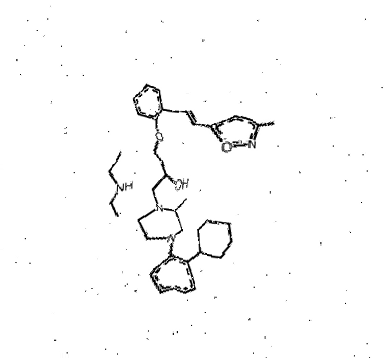 CCNCC.Cc1cc(C=Cc2ccccc2OCC(O)CN2CCN(c3ccccc3C3CCCCC3)CC2C)on1